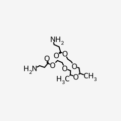 CC(COCCOC(=O)CCN)OC(C)COCCOC(=O)CCN